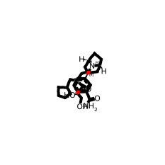 NC(=O)c1cccc([C@H]2C[C@H]3CC[C@@H](C2)N3CCN(CC2CCCC2)C(=O)[C@@H](O)CO)c1